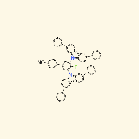 N#Cc1ccc(-c2cc(-n3c4ccc(-c5ccccc5)cc4c4ccc(-c5ccccc5)cc43)c(F)c(-n3c4ccc(-c5ccccc5)cc4c4ccc(-c5ccccc5)cc43)c2)cc1